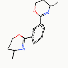 CC1CCOC(c2cccc(C3=NC(C)CCO3)c2)=N1